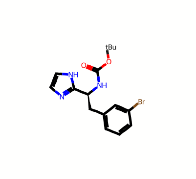 CC(C)(C)OC(=O)N[C@@H](Cc1cccc(Br)c1)c1ncc[nH]1